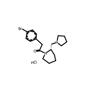 Cl.O=C(Cc1ccc(Br)cc1)N1CCCC[C@H]1CN1CCCC1